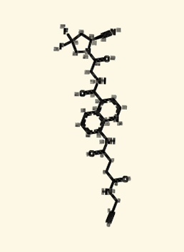 C#CCNC(=O)CCC(=O)Nc1cccc2c(C(=O)NCC(=O)N3CC(F)(F)C[C@H]3C#N)ccnc12